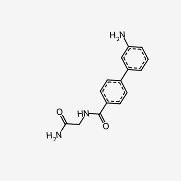 NC(=O)CNC(=O)c1ccc(-c2cccc(N)c2)cc1